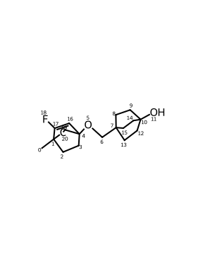 CC12CCC(OCC34CCC(O)(CC3)CC4)(C=C1F)CC2